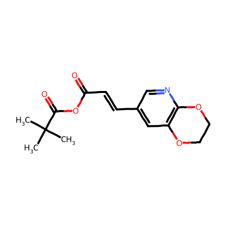 CC(C)(C)C(=O)OC(=O)/C=C/c1cnc2c(c1)OCCO2